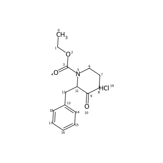 CCOC(=O)N1CCCC(=O)C1Cc1ccccc1.Cl